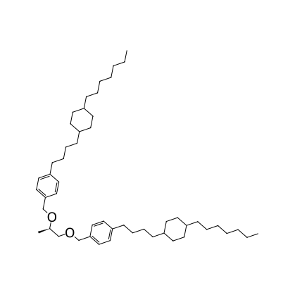 CCCCCCCC1CCC(CCCCc2ccc(COC[C@@H](C)OCc3ccc(CCCCC4CCC(CCCCCCC)CC4)cc3)cc2)CC1